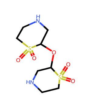 O=S1(=O)CCNCC1OC1CNCCS1(=O)=O